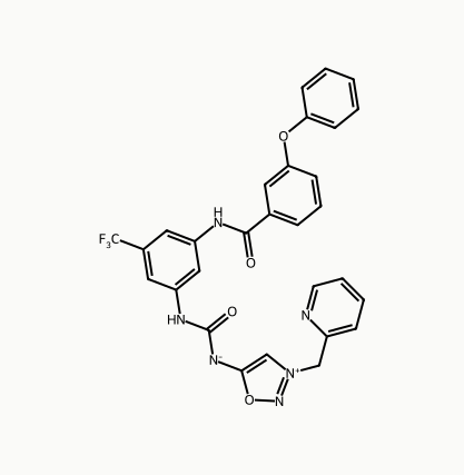 O=C([N-]c1c[n+](Cc2ccccn2)no1)Nc1cc(NC(=O)c2cccc(Oc3ccccc3)c2)cc(C(F)(F)F)c1